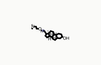 CN(C)CCO/N=C/C1CC[C@H]2[C@@H]3CCC4CC(O)CC[C@]4(C)[C@@H]3CC[C@]12C